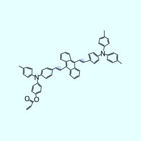 C=CC(=O)Oc1ccc(N(c2ccc(C)cc2)c2ccc(/C=C/c3c4ccccc4c(/C=C/c4ccc(N(c5ccc(C)cc5)c5ccc(C)cc5)cc4)c4ccccc34)cc2)cc1